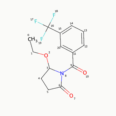 CCOC1CCC(=O)N1C(=O)c1cccc(C(F)(F)F)c1